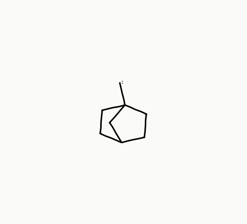 [CH]C12CCC(CC1)C2